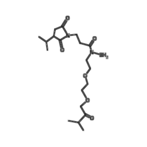 BN(CCOCCOCC(=O)C(C)C)C(=O)CCN1C(=O)CC(C(C)C)C1=O